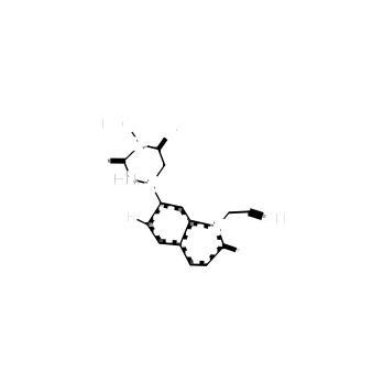 C#CCn1c(=O)ccc2cc(F)c(N3CC(=O)N(C)C(=O)N3)cc21